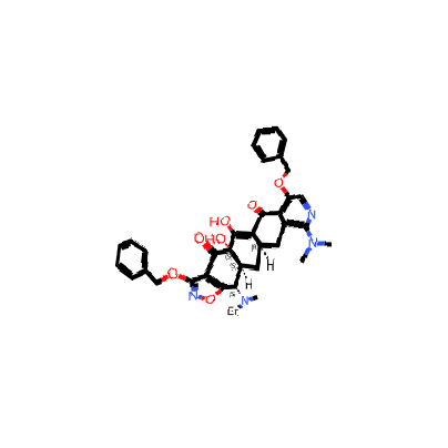 CCN(C)[C@@H]1c2onc(OCc3ccccc3)c2C(=O)[C@@]2(O)C(O)=C3C(=O)c4c(OCc5ccccc5)cnc(N(C)C)c4C[C@H]3C[C@@H]12